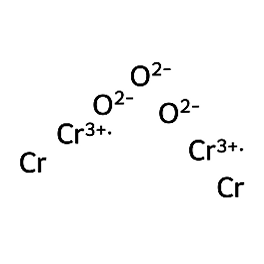 [Cr+3].[Cr+3].[Cr].[Cr].[O-2].[O-2].[O-2]